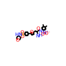 Cc1cc(NC(=O)/C(C#N)=C/c2ccc(-c3ccc(S(=O)(=O)NC4CCOCC4)cc3)o2)c([N+](=O)[O-])cc1C